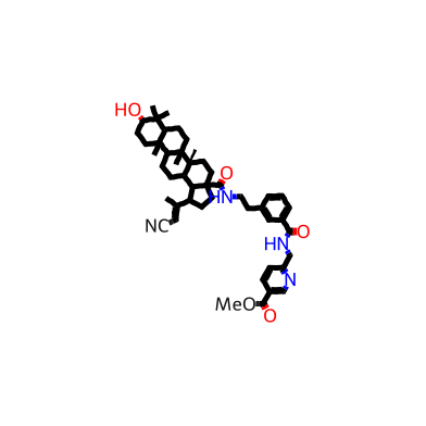 COC(=O)c1ccc(CNC(=O)c2cccc(CCNC(=O)C34CCC(/C(C)=C/C#N)C3C3CCC5C6(C)CCC(O)C(C)(C)C6CCC5(C)[C@]3(C)CC4)c2)nc1